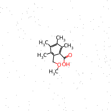 COCc1c(C)c(C)c(C)c(C)c1C(=O)O